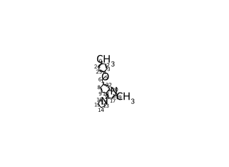 Cc1ccc(OCc2ccc3c(N4CCCC4)cc(C)nc3c2)cc1